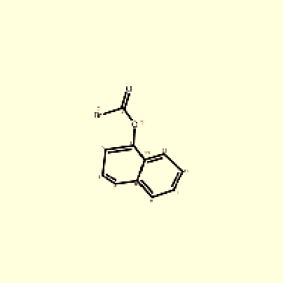 O=C(Br)Oc1cccc2ccccc12